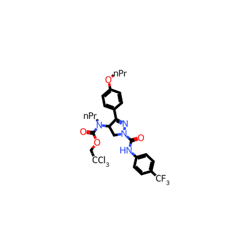 CCCOc1ccc(C2=NN(C(=O)Nc3ccc(C(F)(F)F)cc3)CC2N(CCC)C(=O)OCC(Cl)(Cl)Cl)cc1